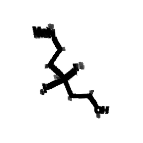 CNCCC(F)(F)CCO